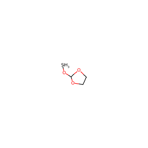 [SiH3]OC1OCCO1